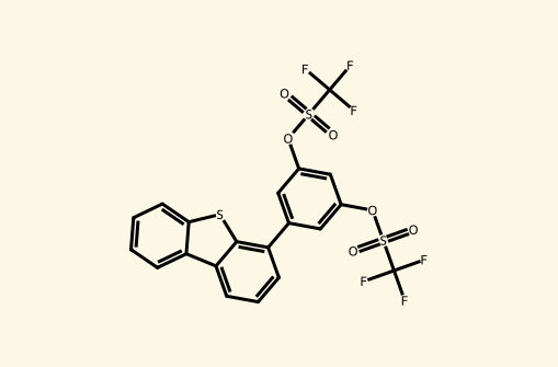 O=S(=O)(Oc1cc(OS(=O)(=O)C(F)(F)F)cc(-c2cccc3c2sc2ccccc23)c1)C(F)(F)F